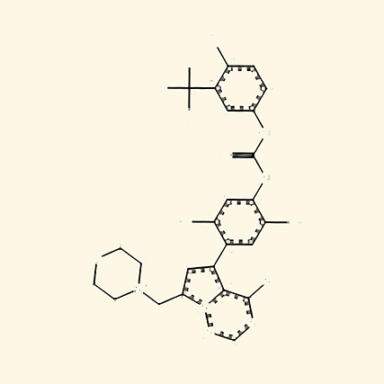 Nc1ncnn2c(CN3CCOCC3)cc(-c3cc(F)c(NC(=O)Nc4ccc(Cl)c(C(F)(F)F)c4)cc3F)c12